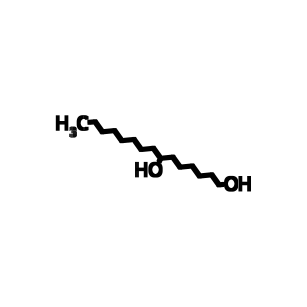 CCCCCCCCC(O)CCCCCCO